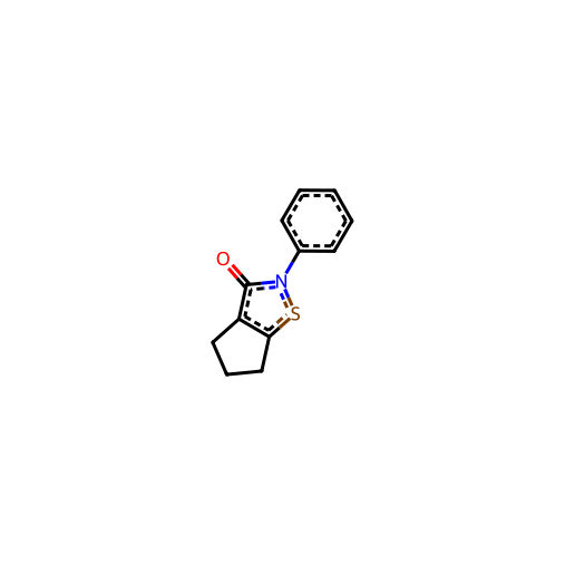 O=c1c2c(sn1-c1ccccc1)CCC2